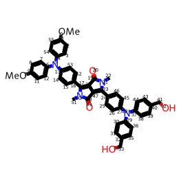 COc1ccc(N(c2ccc(OC)cc2)c2ccc(C3=C4C(=O)N(C)C(c5ccc(N(c6ccc(CO)cc6)c6ccc(CO)cc6)cc5)=C4C(=O)N3C)cc2)cc1